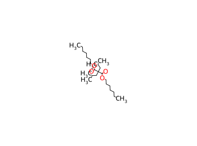 CCCCCCCOC(=O)C(CC(C)C)(CC(C)C)C(=O)OCCCCCCC